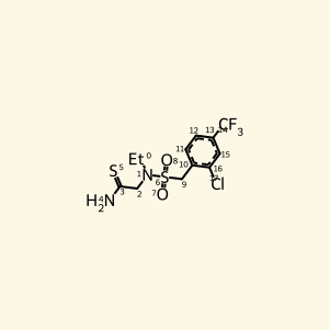 CCN(CC(N)=S)S(=O)(=O)Cc1ccc(C(F)(F)F)cc1Cl